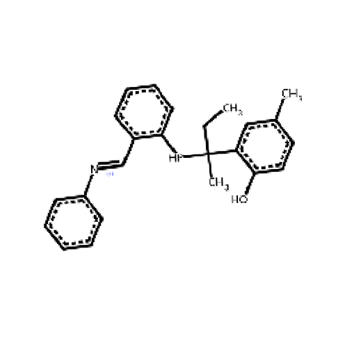 CCC(C)(Pc1ccccc1/C=N/c1ccccc1)c1cc(C)ccc1O